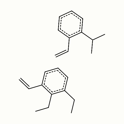 C=Cc1cccc(CC)c1CC.C=Cc1ccccc1C(C)C